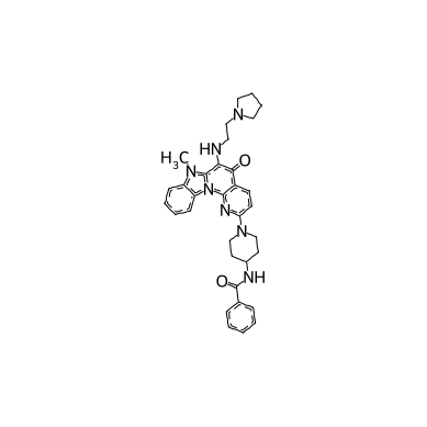 Cn1c2ccccc2n2c3nc(N4CCC(NC(=O)c5ccccc5)CC4)ccc3c(=O)c(NCCN3CCCC3)c12